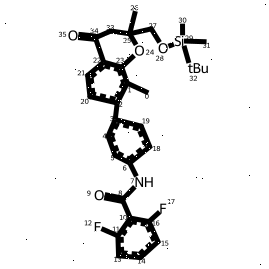 Cc1c(-c2ccc(NC(=O)c3c(F)cccc3F)cc2)ccc2c1OC(C)(CO[Si](C)(C)C(C)(C)C)CC2=O